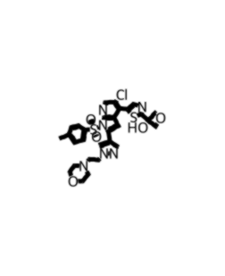 Cc1ccc(S(=O)(=O)n2c(-c3cnn(CCN4CCOCC4)c3)cc3c(-c4cnc(C5(O)COC5)s4)c(Cl)cnc32)cc1